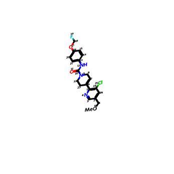 COCc1cnc(C2=CCN(C(=O)Nc3ccc(OCF)cc3)CC2)c(Cl)c1